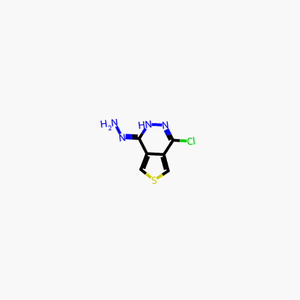 N/N=c1\[nH]nc(Cl)c2cscc12